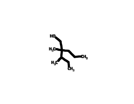 CCCC(C)(CO)C(C)CC